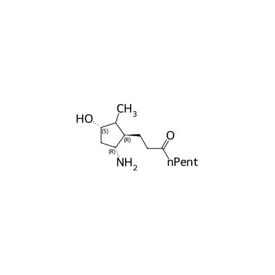 CCCCCC(=O)CC[C@@H]1C(C)[C@@H](O)C[C@H]1N